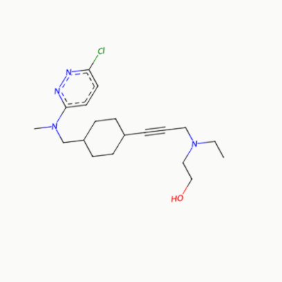 CCN(CC#CC1CCC(CN(C)c2ccc(Cl)nn2)CC1)CCO